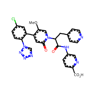 COc1cn(C(Cc2ccncc2)C(=O)Nc2ccc(C(=O)O)nc2)c(=O)cc1-c1cc(Cl)ccc1-n1cnnn1